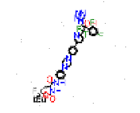 CC(C)(C)OC(=O)NC(CC(F)(F)F)C(=O)Nc1ccc(N2CCN(c3ccc(-c4ccc(C(F)(F)C(O)(Cn5cnnn5)c5ccc(F)cc5F)nc4)cc3)CC2)cc1